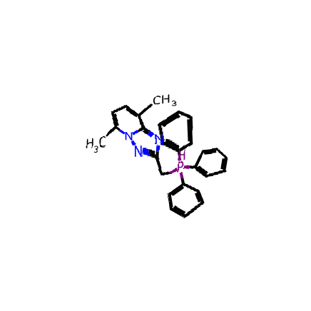 Cc1ccc(C)n2nc(C[PH](c3ccccc3)(c3ccccc3)c3ccccc3)nc12